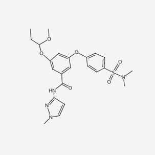 CCC(OC)Oc1cc(Oc2ccc(S(=O)(=O)N(C)C)cc2)cc(C(=O)Nc2ccn(C)n2)c1